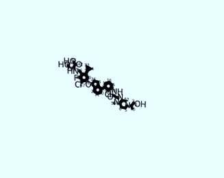 CC(CO)N1CCc2c(nc(C(=O)Nc3cccc(-c4cccc5c4CCC5Oc4cc(C5CC5)c(CN[C@H](CO)C(=O)O)c(F)c4Cl)c3Cl)n2C)C1